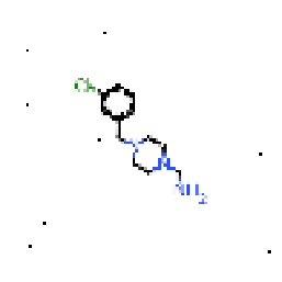 NCN1CCN(Cc2cccc(Cl)c2)CC1